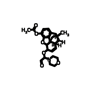 CC(=O)Oc1ccc2c3c1OC1C(OC(C=O)N4CCOCC4)C=C[C@H]4[C@@H](C2)N(C)CC[C@]314